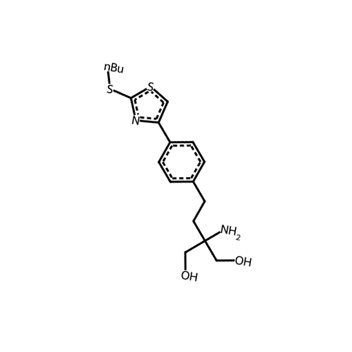 CCCCSc1nc(-c2ccc(CCC(N)(CO)CO)cc2)cs1